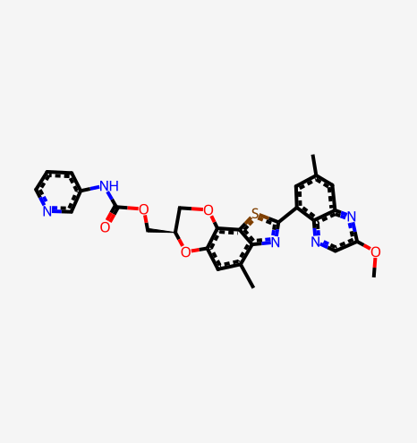 COc1cnc2c(-c3nc4c(C)cc5c(c4s3)OC[C@H](COC(=O)Nc3cccnc3)O5)cc(C)cc2n1